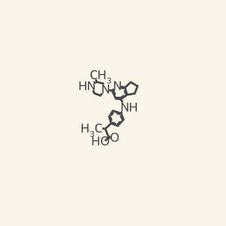 CC1CN(c2cc(Nc3ccc(C(C)C(=O)O)cc3)c3c(n2)CCC3)CCN1